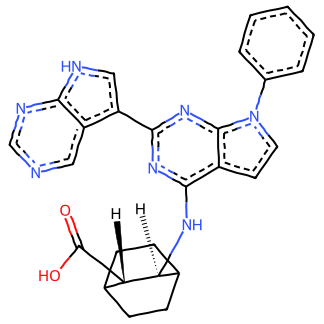 O=C(O)[C@H]1C2CCC(CC2)[C@@H]1Nc1nc(-c2c[nH]c3ncncc23)nc2c1ccn2-c1ccccc1